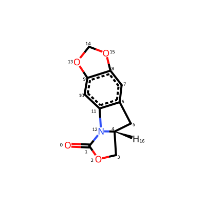 O=C1OC[C@H]2Cc3cc4c(cc3N12)OCO4